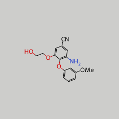 COc1cccc(Oc2c(N)cc(C#N)cc2OCCO)c1